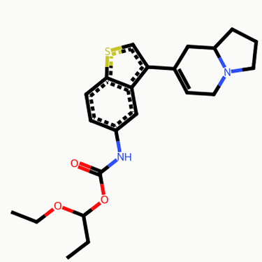 CCOC(CC)OC(=O)Nc1ccc2scc(C3=CCN4CCCC4C3)c2c1